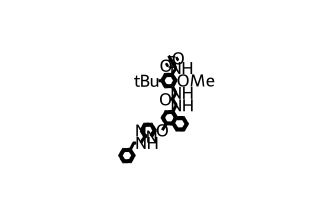 COc1c(NC(=O)Nc2ccc(Oc3ccnc(NCc4ccccc4)n3)c3ccccc23)cc(C(C)(C)C)cc1NS(C)(=O)=O